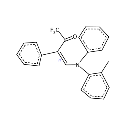 Cc1ccccc1N(/C=C(\C(=O)C(F)(F)F)c1ccccc1)c1ccccc1